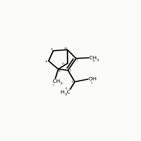 CC1=C(C(C)O)C2(C)CCC1C2